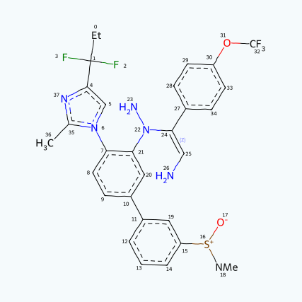 CCC(F)(F)c1cn(-c2ccc(-c3cccc([S+]([O-])NC)c3)cc2N(N)/C(=C\N)c2ccc(OC(F)(F)F)cc2)c(C)n1